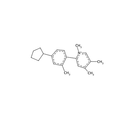 Cc1cc(-c2ccc(C3CCCC3)cc2C)[n+](C)cc1C